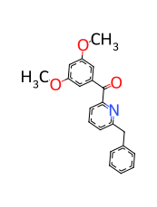 COc1cc(OC)cc(C(=O)c2cccc(Cc3ccccc3)n2)c1